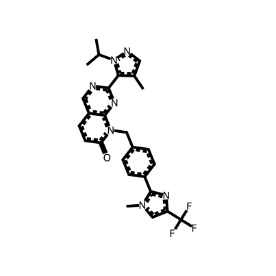 Cc1cnn(C(C)C)c1-c1ncc2ccc(=O)n(Cc3ccc(-c4nc(C(F)(F)F)cn4C)cc3)c2n1